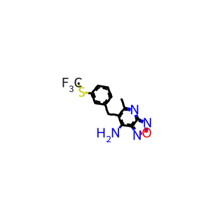 Cc1nc2nonc2c(N)c1Cc1cccc(SC(F)(F)F)c1